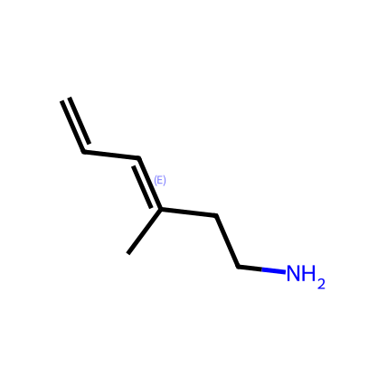 C=C/C=C(\C)CCN